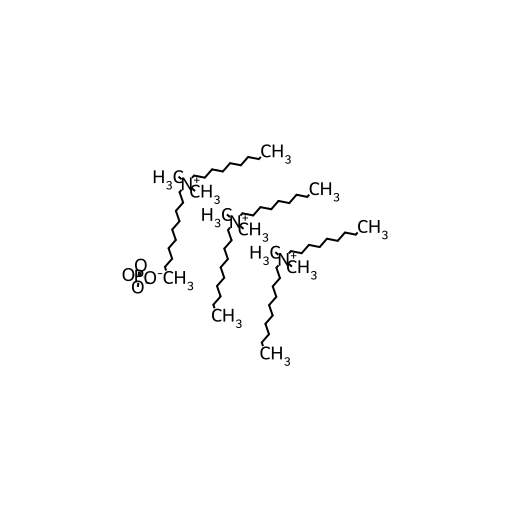 CCCCCCCCCC[N+](C)(C)CCCCCCCCC.CCCCCCCCCC[N+](C)(C)CCCCCCCCC.CCCCCCCCCC[N+](C)(C)CCCCCCCCC.O=P([O-])([O-])[O-]